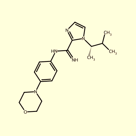 CC(C)[C@H](C)n1ccnc1C(=N)Nc1ccc(N2CCOCC2)cc1